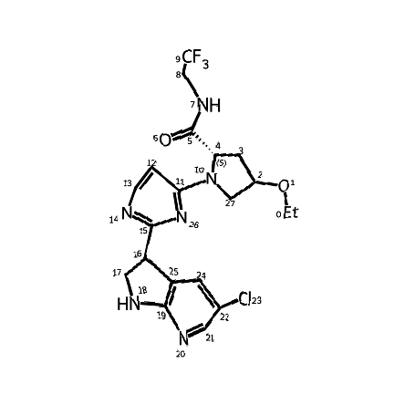 CCOC1C[C@@H](C(=O)NCC(F)(F)F)N(c2ccnc(C3CNc4ncc(Cl)cc43)n2)C1